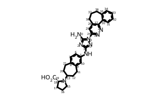 Nc1nc(Nc2ccc3c(c2)CCC(N2CCC[C@@H]2C(=O)O)CC3)nn1-c1cc2c(nn1)-c1ccccc1CCC2